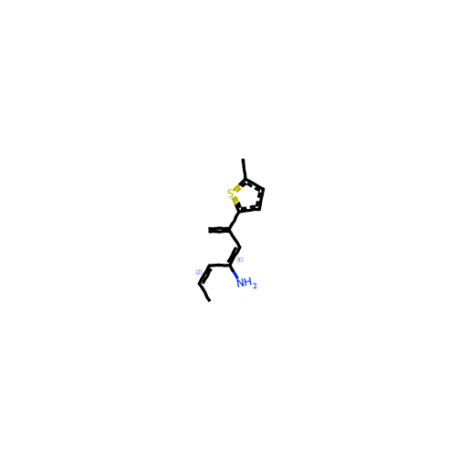 C=C(/C=C(N)\C=C/C)c1ccc(C)s1